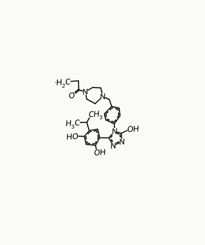 [CH2]CC(=O)N1CCN(Cc2ccc(-n3c(O)nnc3-c3cc(C(C)C)c(O)cc3O)cc2)CC1